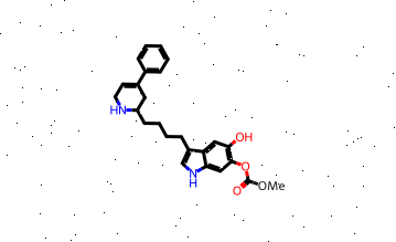 COC(=O)Oc1cc2[nH]cc(CCCCC3CC(c4ccccc4)=CCN3)c2cc1O